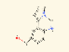 OCc1ccc2c(c1)-c1cccn1CN2